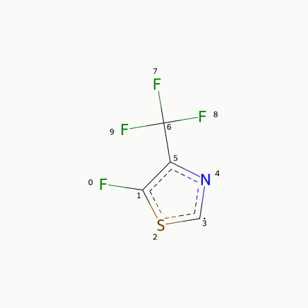 Fc1s[c]nc1C(F)(F)F